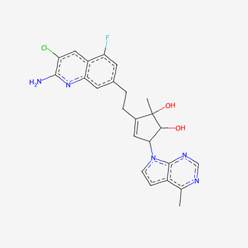 Cc1ncnc2c1ccn2C1C=C(CCc2cc(F)c3cc(Cl)c(N)nc3c2)C(C)(O)C1O